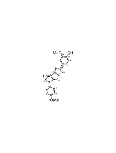 COc1ccc(-c2n[nH]c3c2Cc2sc(-c4ccc(O)c(OC)c4)cc2-3)cc1